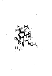 CCCN(CCC)c1c([N+](=O)[O-])cc(C(F)(F)F)c(C)c1[N+](=O)[O-]